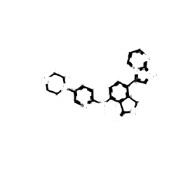 O=C1NCc2c(-c3cnc4ncccn34)ccc(Nc3ccc(N4CCNCC4)cn3)c21